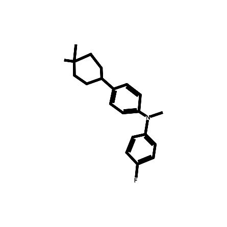 CN(c1ccc(F)cc1)c1ccc(C2CCC(C)(C)CC2)cc1